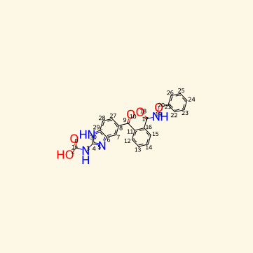 O=C(O)Nc1nc2cc(C(=O)c3ccccc3C(=O)NOc3ccccc3)ccc2[nH]1